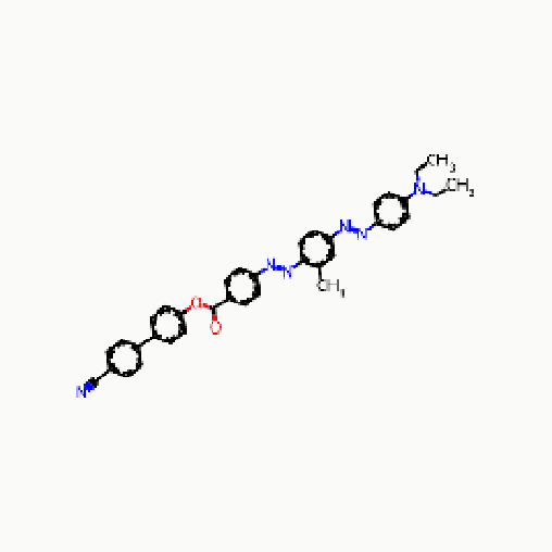 CCN(CC)c1ccc(N=Nc2ccc(N=Nc3ccc(C(=O)Oc4ccc(-c5ccc(C#N)cc5)cc4)cc3)c(C)c2)cc1